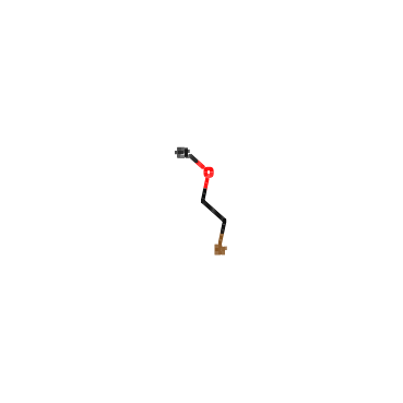 C[CH]OCCBr